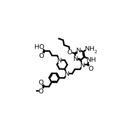 CCCCOc1nc(N)c2[nH]c(=O)n(CCCN(Cc3cccc(CC(=O)OC)c3)C3CCN(CCCC(=O)O)CC3)c2n1